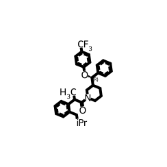 CC(C)Cc1ccccc1C(C)C(=O)N1CCCC([C@@H](Oc2ccc(C(F)(F)F)cc2)c2ccccc2)C1